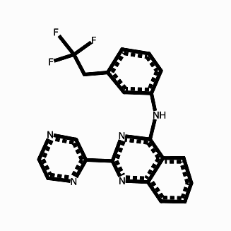 FC(F)(F)Cc1cccc(Nc2nc(-c3cnccn3)nc3ccccc23)c1